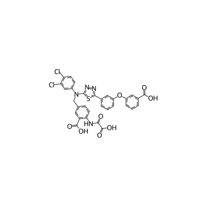 O=C(O)C(=O)Nc1ccc(CN(c2ccc(Cl)c(Cl)c2)c2nnc(-c3cccc(Oc4cccc(C(=O)O)c4)c3)s2)cc1C(=O)O